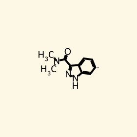 CN(C)C(=O)c1n[nH]c2c[c]ccc12